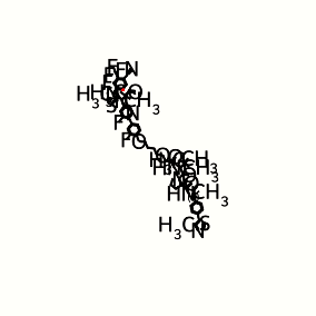 Cc1ncsc1-c1ccc([C@H](C)NC(=O)C2CCCN2C(=O)C(NC(=O)COCCCCOc2ccc(-c3ncc(N(C(=S)N(C)c4ccc(C#N)c(C(F)(F)F)c4F)C(C)(C)C=O)cc3F)cc2F)C(C)(C)C)cc1